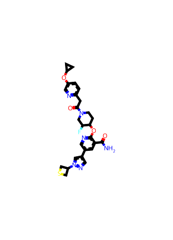 NC(=O)c1cc(-c2cnn(C3CSC3)c2)cnc1OC1CCN(C(=O)Cc2ccc(OC3CC3)cn2)CC1F